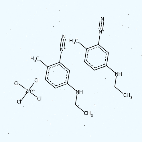 CCNc1ccc(C)c([N+]#N)c1.CCNc1ccc(C)c([N+]#N)c1.[Cl][Zn-2]([Cl])([Cl])[Cl]